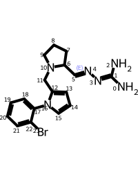 NC(N)=N/N=C/C1CCCN1Cc1cccn1-c1ccccc1Br